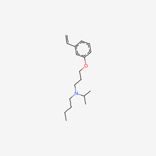 C=Cc1cccc(OCCCN(CCCC)C(C)C)c1